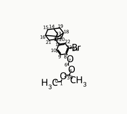 CCOC(C)OCOc1c[c]c(C23CC4CC(CC(C4)C2)C3)cc1Br